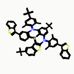 Cc1cc(C(C)(C)C)cc(C)c1N1c2cc(-c3csc4ccccc34)ccc2B2c3c1cc(C(C)(C)C)cc3N(c1c(C)cc(-c3csc4ccccc34)cc1C)c1sc3ccc(C(C)(C)C)cc3c12